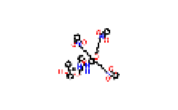 O=Cc1cc(C(=O)Nc2cc(CCCCCCN3C(=O)c4ccccc4C3=O)c(OCCCCCCCN3C(=O)c4ccccc4C3=O)c(CCCCCCN3C(=O)c4ccccc4C3=O)c2)n(Cc2ccccc2)c1C#CC(O)(c1ccccc1)c1ccccc1